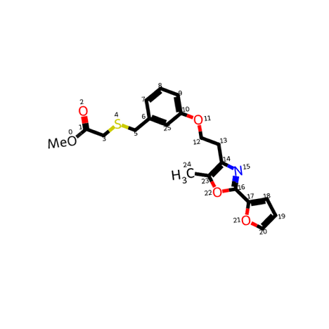 COC(=O)CSCc1cccc(OCCc2nc(-c3ccco3)oc2C)c1